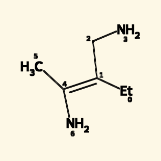 CC/C(CN)=C(/C)N